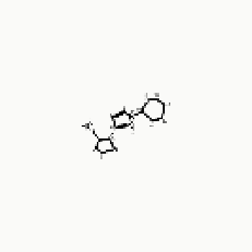 O[C@@H]1CCC[C@H]1c1ccn(C2CCCCO2)n1